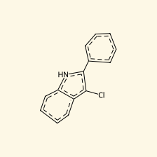 Clc1c(-c2ccccc2)[nH]c2ccccc12